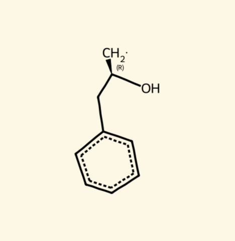 [CH2][C@@H](O)Cc1ccccc1